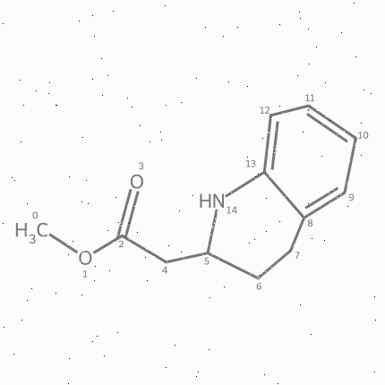 COC(=O)CC1CCc2cc[c]cc2N1